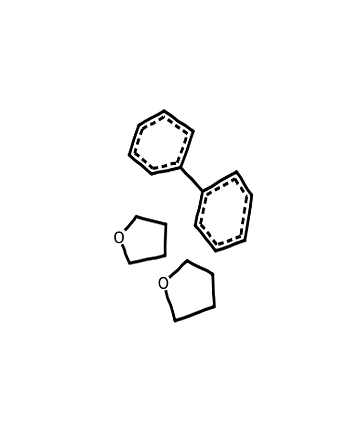 C1CCOC1.C1CCOC1.c1ccc(-c2ccccc2)cc1